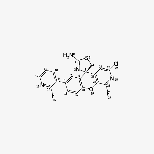 NC1=N[C@@]2(CS1)c1cc(-c3cccnc3F)ccc1Oc1c2cc(Cl)nc1F